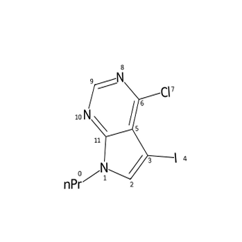 CCCn1cc(I)c2c(Cl)ncnc21